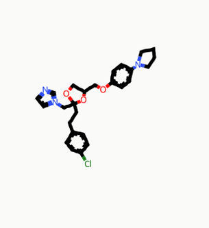 Clc1ccc(CCC2(Cn3ccnc3)OCC(COc3ccc(N4CCCC4)cc3)O2)cc1